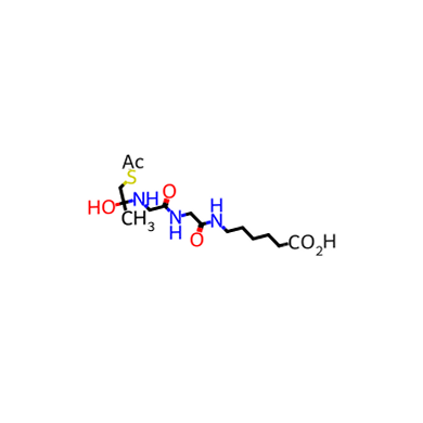 CC(=O)SCC(C)(O)NCC(=O)NCC(=O)NCCCCCC(=O)O